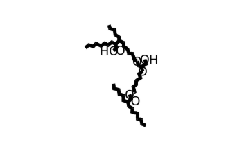 CCCCCCCCC(CCCCCC)C(=O)OCCCCCCOC(CO)COCCCCCCC(CCCCC)C(CCCCCCCC)C(=O)O